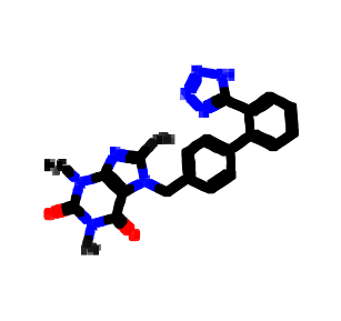 CCCCc1nc2c(c(=O)n(CCC)c(=O)n2C)n1Cc1ccc(-c2ccccc2-c2nnn[nH]2)cc1